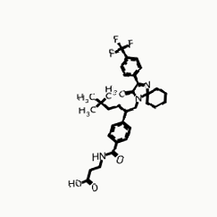 CC(C)(C)CCC(CN1C(=O)C(c2ccc(C(F)(F)F)cc2)=NC12CCCCC2)c1ccc(C(=O)NCCC(=O)O)cc1